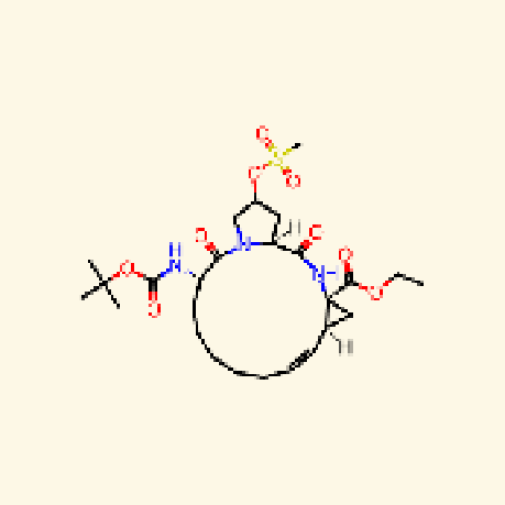 CCOC(=O)[C@@]12C[C@H]1/C=C\CCCCC[C@H](NC(=O)OC(C)(C)C)C(=O)N1C[C@@H](OS(C)(=O)=O)C[C@H]1C(=O)N2